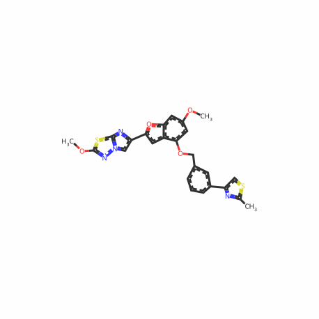 COc1cc(OCc2cccc(-c3csc(C)n3)c2)c2cc(-c3cn4nc(OC)sc4n3)oc2c1